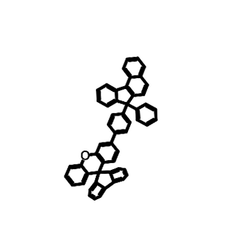 c1ccc(C2(c3ccc(-c4ccc5c(c4)Oc4ccccc4C54c5ccccc5-c5ccccc54)cc3)c3ccccc3-c3c2ccc2ccccc32)cc1